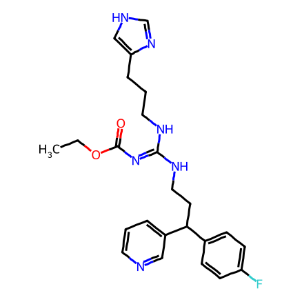 CCOC(=O)N=C(NCCCc1c[nH]cn1)NCCC(c1ccc(F)cc1)c1cccnc1